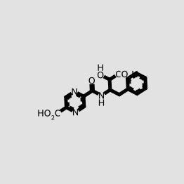 O=C(O)c1cnc(C(=O)NC(Cc2ccccc2)C(O)C(=O)O)cn1